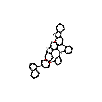 c1cc(-c2ccc(-c3cccc4ccccc34)cc2)cc(N(c2ccccc2-c2ccc3oc4ccccc4c3c2)c2cccc3sc4ccccc4c23)c1